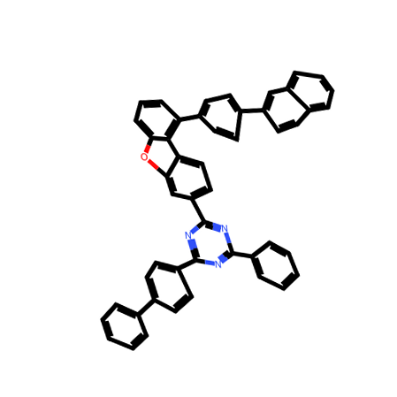 c1ccc(-c2ccc(-c3nc(-c4ccccc4)nc(-c4ccc5c(c4)oc4cccc(-c6ccc(-c7ccc8ccccc8c7)cc6)c45)n3)cc2)cc1